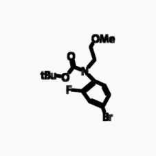 COCCN(C(=O)OC(C)(C)C)c1ccc(Br)cc1F